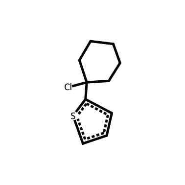 ClC1(c2cccs2)CCCCC1